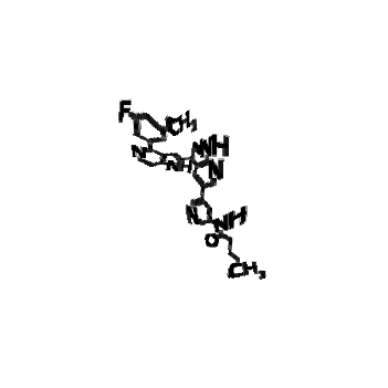 CCCCC(=O)Nc1cncc(-c2cnc3[nH]nc(-c4cc5c(-c6cc(C)cc(F)c6)nccc5[nH]4)c3c2)c1